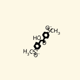 C[S+]([O-])c1ccc(C(=O)C(O)c2ccc([S+](C)[O-])cc2)cc1